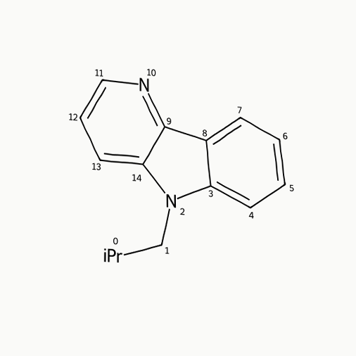 CC(C)Cn1c2ccccc2c2ncccc21